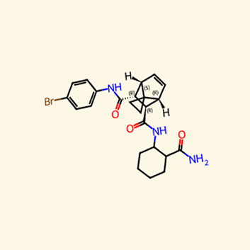 NC(=O)C1CCCCC1NC(=O)[C@H]1[C@H](C(=O)Nc2ccc(Br)cc2)[C@@H]2C=C[C@H]1C21CC1